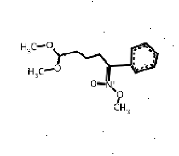 COC(CCCC(c1ccccc1)=[N+]([O-])OC)OC